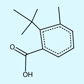 Cc1cccc(C(=O)O)c1C(C)(C)C